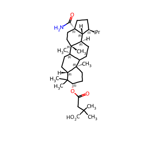 CC(C)[C@@H]1CC[C@]2(C(N)=O)CC[C@]3(C)[C@H](CCC4[C@@]5(C)CC[C@H](OC(=O)CC(C)(C)C(=O)O)C(C)(C)[C@@H]5CC[C@]43C)[C@@H]12